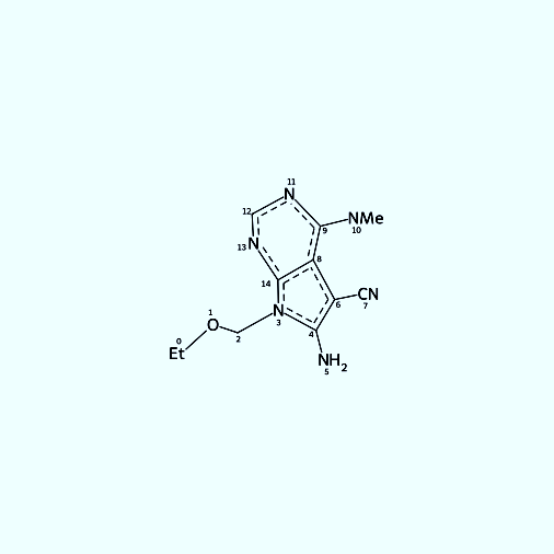 CCOCn1c(N)c(C#N)c2c(NC)ncnc21